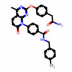 Cc1nc(Oc2ccc(CC(N)=O)cc2)nc2c1ccc(=O)n2-c1ccc(C(=O)NCc2ccc(C(F)(F)F)cc2)cc1